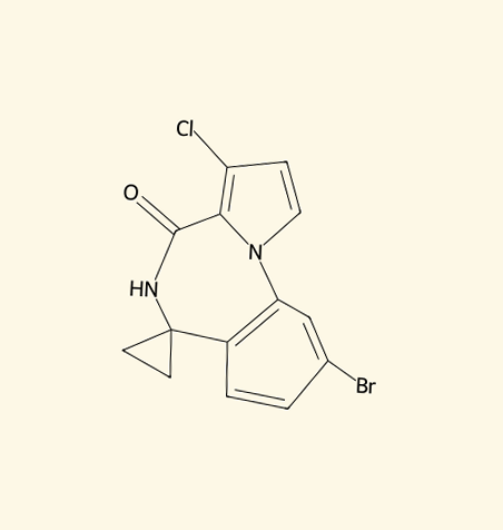 O=C1NC2(CC2)c2ccc(Br)cc2-n2ccc(Cl)c21